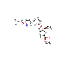 COC(=O)c1ccc(COc2cccc(-c3ccc(OCC4CC4)nc3)c2)c(OC)c1